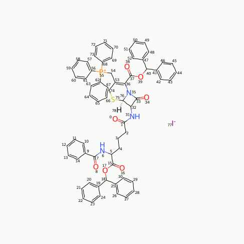 O=C(CCCC(NC(=O)c1ccccc1)C(=O)OC(c1ccccc1)c1ccccc1)NC1C(=O)N2C(C(=O)OC(c3ccccc3)c3ccccc3)=C(C[P+](c3ccccc3)(c3ccccc3)c3ccccc3)CS[C@H]12.[I-]